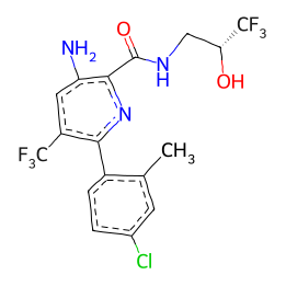 Cc1cc(Cl)ccc1-c1nc(C(=O)NC[C@@H](O)C(F)(F)F)c(N)cc1C(F)(F)F